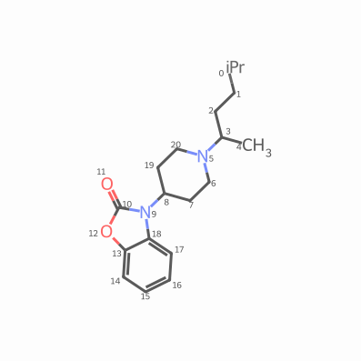 CC(C)CCC(C)N1CCC(n2c(=O)oc3ccccc32)CC1